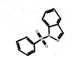 O=S(=O)(c1ccccc1)n1ncc2ccccc21